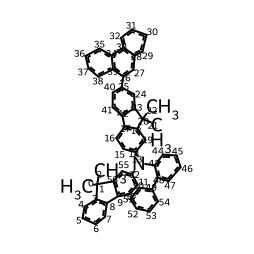 CC1(C)c2ccccc2-c2ccc(N(c3ccc4c(c3)C(C)(C)c3cc(-c5cc6ccccc6c6ccccc56)ccc3-4)c3ccccc3-c3ccccc3)cc21